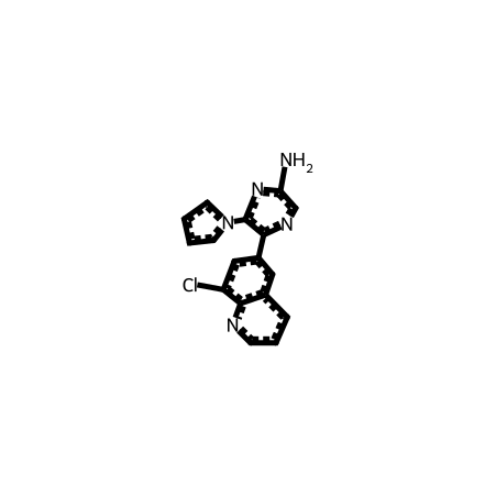 Nc1cnc(-c2cc(Cl)c3ncccc3c2)c(-n2cccc2)n1